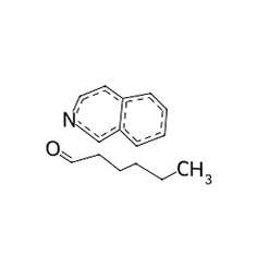 CCCCCC=O.c1ccc2cnccc2c1